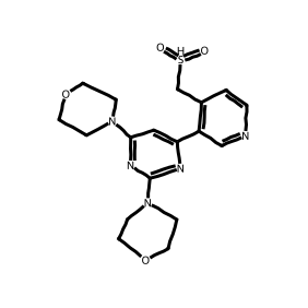 O=[SH](=O)Cc1ccncc1-c1cc(N2CCOCC2)nc(N2CCOCC2)n1